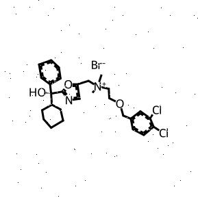 C[N+](C)(CCOCc1ccc(Cl)c(Cl)c1)Cc1cnc([C@](O)(c2ccccc2)C2CCCCC2)o1.[Br-]